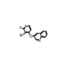 Fc1nccc(Oc2cnc3ccccc3c2)c1Br